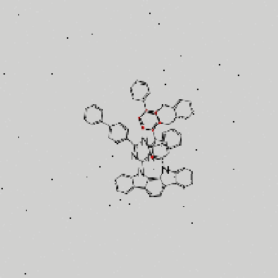 c1ccc(-c2ccc(-c3nc(-c4ccccc4)nc(-n4c5ccccc5c5ccc6c7ccccc7n(-c7ccc(-c8ccc(-c9ccccc9)c9c8C8c%10ccccc%10C9c9ccccc98)cc7)c6c54)n3)cc2)cc1